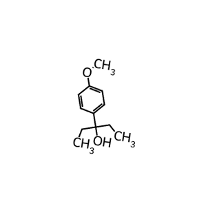 CCC(O)(CC)c1ccc(OC)cc1